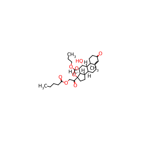 CCCCC(=O)OCC(=O)[C@@]1(OC(=O)OCCC)CC[C@H]2[C@@H]3CCC4=CC(=O)CC[C@]4(C)[C@H]3[C@@H](O)C[C@@]21C